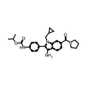 CC(C)OC(=O)Nc1ccc(-c2c(N)c3ccc(C(=O)N4CCCC4)cc3n2CC2CC2)cc1